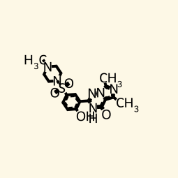 Cc1nc(C)n2nc(-c3cc(S(=O)(=O)N4CCN(C)CC4)ccc3O)[nH]c(=O)c12